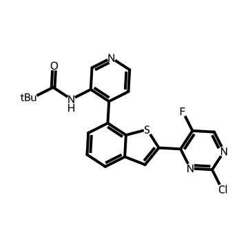 CC(C)(C)C(=O)Nc1cnccc1-c1cccc2cc(-c3nc(Cl)ncc3F)sc12